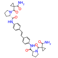 NC(=O)C1(C(=O)N2CCC[C@H]2C(=O)Nc2ccc(/C=C/c3ccc(NC(=O)[C@@H]4CCCN4C(=O)C4(C(N)=O)CC4)cc3)cc2)CC1